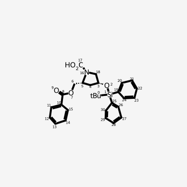 CC(C)(C)[Si](O[C@@H]1C[C@H](COC(=O)c2ccccc2)N(C(=O)O)C1)(c1ccccc1)c1ccccc1